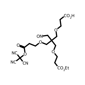 CCOC(=O)CCOCC(CN=O)(COCCC(=O)O)COCCC(=O)OC(C#N)(C#N)C#N